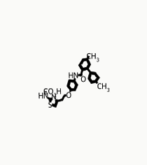 Cc1ccc(-c2cc(C)ccc2C(=O)Nc2ccc(OCCc3csc(NC(=O)O)n3)cc2)cc1